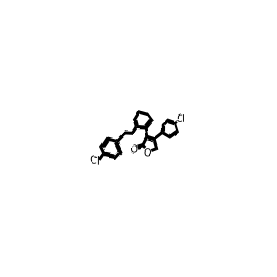 O=C1OCC(c2ccc(Cl)cc2)=C1c1ccccc1CCc1ccc(Cl)cc1